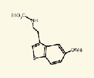 CCOC(=O)NCCc1csc2ccc(OC)cc12